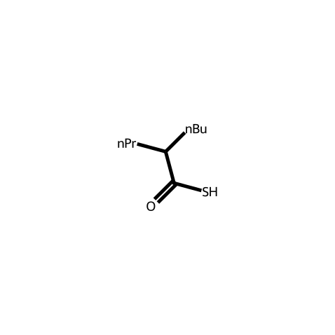 CCCCC(CCC)C(=O)S